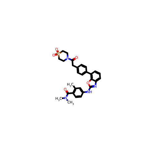 Cc1cc(Nc2nc3cccc(-c4ccc(CC(=O)N5CCS(=O)(=O)CC5)cc4)c3o2)ccc1C(=O)N(C)C